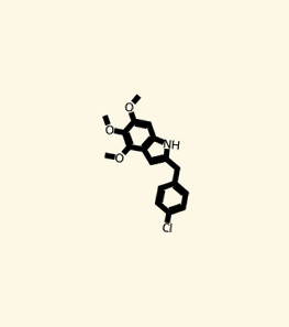 COc1cc2[nH]c(Cc3ccc(Cl)cc3)cc2c(OC)c1OC